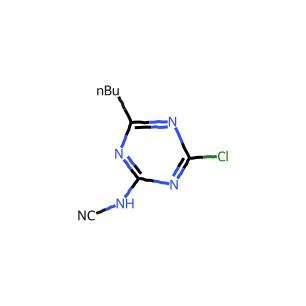 CCCCc1nc(Cl)nc(NC#N)n1